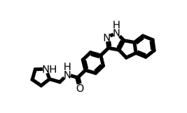 O=C(NCC1CCCN1)c1ccc(-c2n[nH]c3c2Cc2ccccc2-3)cc1